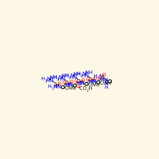 COc1ccc(NC(=O)[C@H](CCCNC(=N)N)NC(=O)c2cc(NC(=O)[C@H](CCCNC(=N)N)NC(=O)c3cc(NC(=O)[C@H](CCCNC(=N)N)NC(=O)c4cc(NC(=O)[C@@H](N)CCCNC(=N)N)ccc4OC)ccc3OCC(=O)O)ccc2OC)cc1C(=O)N[C@@H](Cc1c[nH]c2ccccc12)C(N)=O